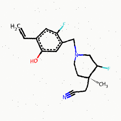 C=Cc1cc(F)c(CN2CC[C@](C)(CC#N)C(F)C2)cc1O